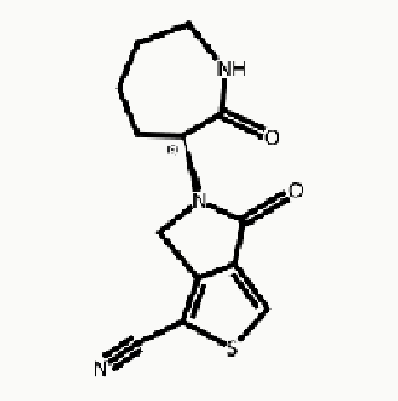 N#Cc1scc2c1CN([C@H]1CCCCNC1=O)C2=O